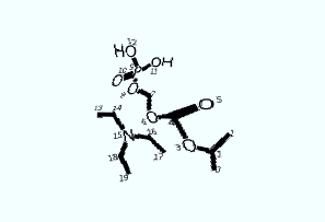 CC(C)OC(=O)OCOP(=O)(O)O.CCN(CC)CC